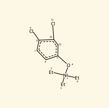 CC[N+](CC)(CC)Oc1ccc(Cl)c(Cl)c1